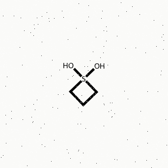 OS1(O)CCC1